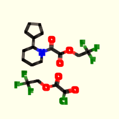 O=C(Cl)C(=O)OCC(F)(F)F.O=C(OCC(F)(F)F)C(=O)N1CCCCC1C1CCCC1